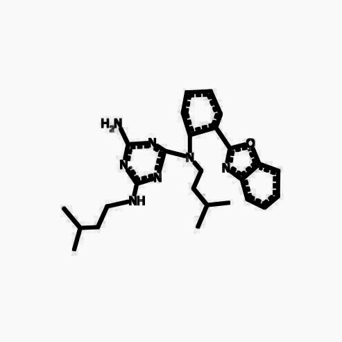 CC(C)CCNc1nc(N)nc(N(CCC(C)C)c2ccccc2-c2nc3ccccc3o2)n1